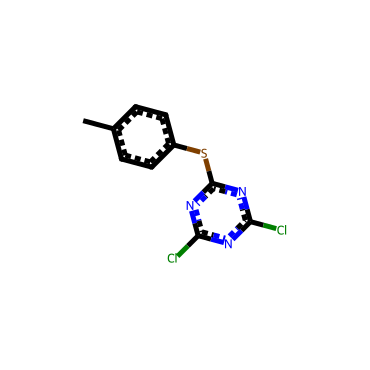 Cc1ccc(Sc2nc(Cl)nc(Cl)n2)cc1